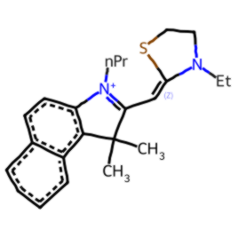 CCC[N+]1=C(/C=C2\SCCN2CC)C(C)(C)c2c1ccc1ccccc21